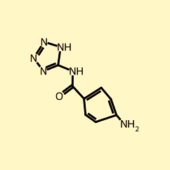 Nc1ccc(C(=O)Nc2nnn[nH]2)cc1